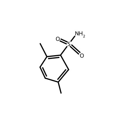 Cc1ccc(C)c(S(N)(=O)=O)c1